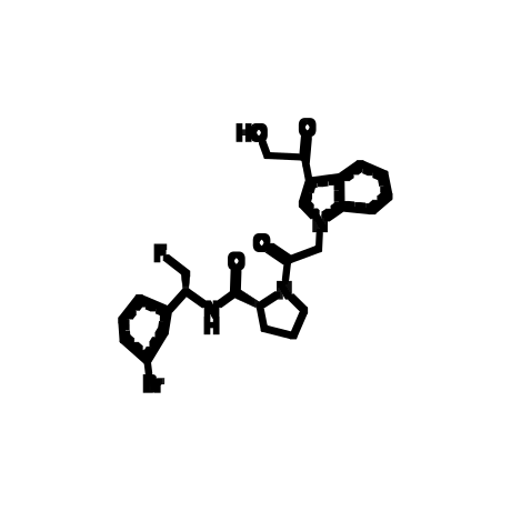 O=C(CO)c1cn(CC(=O)N2CCC[C@H]2C(=O)N[C@H](CF)c2cccc(Br)c2)c2ccccc12